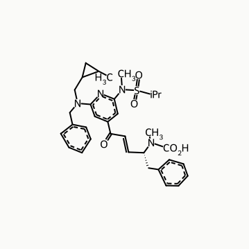 CC1CC1CN(Cc1ccccc1)c1cc(C(=O)/C=C/[C@@H](Cc2ccccc2)N(C)C(=O)O)cc(N(C)S(=O)(=O)C(C)C)n1